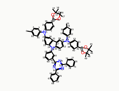 Cc1ccc(N(c2ccc(B3OC(C)(C)C(C)(C)O3)cc2)c2ccc3c(c2)c2cc(N(c4ccc(C)cc4)c4ccc(B5OC(C)(C)C(C)(C)O5)cc4)ccc2n3-c2cccc(-c3nc(-c4ccccc4)nc(-c4ccccc4)n3)c2)cc1